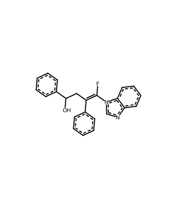 OC(CC(=C(F)n1cnc2ccccc21)c1ccccc1)c1ccccc1